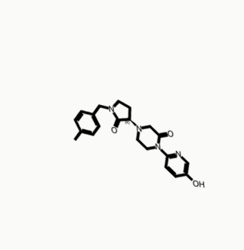 Cc1ccc(CN2CC[C@@H](N3CCN(c4ccc(O)cn4)C(=O)C3)C2=O)cc1